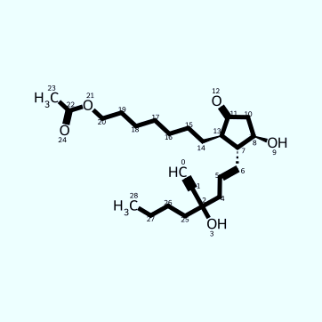 C#CC(O)(C/C=C/[C@H]1[C@H](O)CC(=O)[C@@H]1CCCCCCCOC(C)=O)CCCC